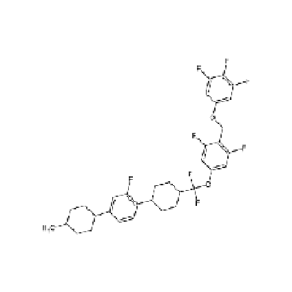 CC1CCC(c2ccc(C3CCC(C(F)(F)Oc4cc(F)c(COc5cc(F)c(F)c(F)c5)c(F)c4)CC3)c(F)c2)CC1